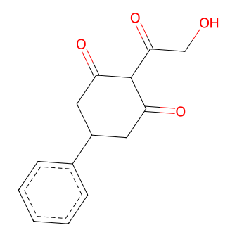 O=C(CO)C1C(=O)CC(c2ccccc2)CC1=O